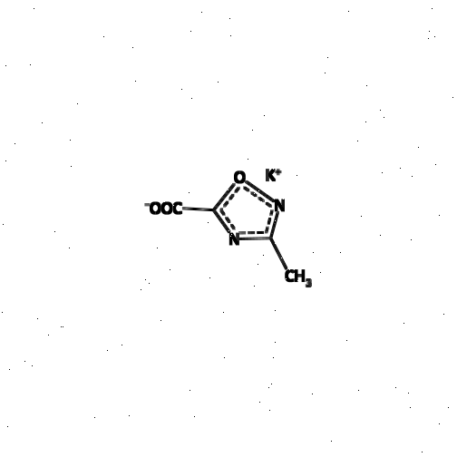 Cc1noc(C(=O)[O-])n1.[K+]